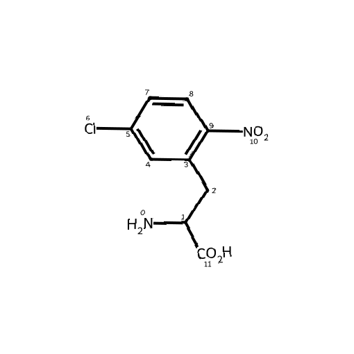 NC(Cc1cc(Cl)ccc1[N+](=O)[O-])C(=O)O